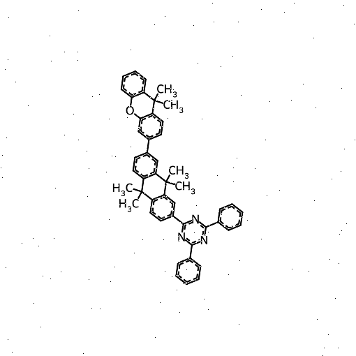 CC1(C)c2ccccc2Oc2cc(-c3ccc4c(c3)C(C)(C)c3cc(-c5nc(-c6ccccc6)nc(-c6ccccc6)n5)ccc3C4(C)C)ccc21